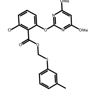 COc1cc(OC)nc(Oc2cccc(Cl)c2C(=O)OCSc2cccc(C)c2)n1